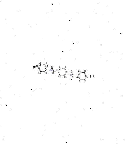 Fc1ccc(/C=C/c2ccc(/C=C/c3ccc(F)cc3)cc2)cc1